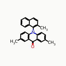 Cc1ccc2c(c1)c(=O)c1cc(C)ccc1n2-c1c(C)ccc2ccccc12